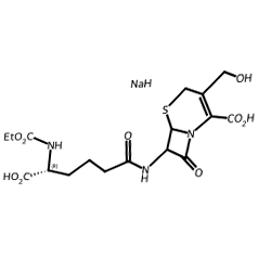 CCOC(=O)N[C@H](CCCC(=O)NC1C(=O)N2C(C(=O)O)=C(CO)CSC12)C(=O)O.[NaH]